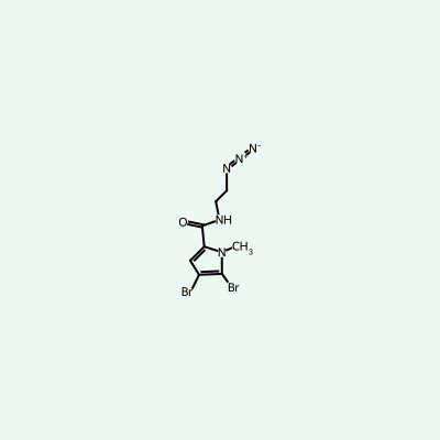 Cn1c(C(=O)NCCN=[N+]=[N-])cc(Br)c1Br